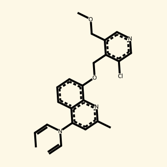 C=CN(/C=C\C)c1cc(C)nc2c(OCc3c(Cl)cncc3COC)cccc12